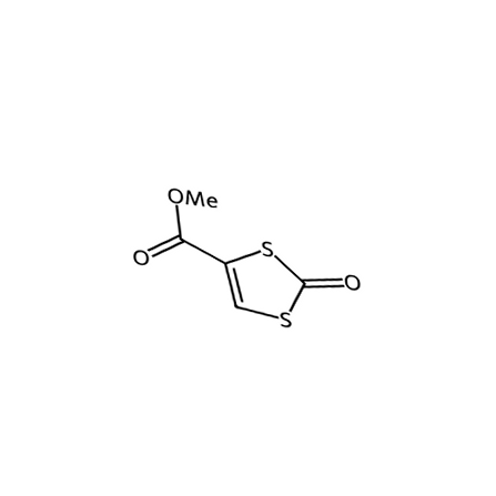 COC(=O)c1csc(=O)s1